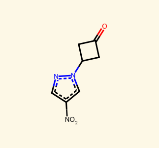 O=C1CC(n2cc([N+](=O)[O-])cn2)C1